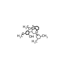 COc1cc(O)c(C(CC(=O)N2CC(C)CC(C)C2)c2csc3ccccc23)c(OC)c1